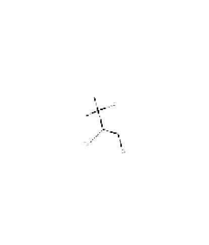 FC(F)(F)C(Br)[CH]Br